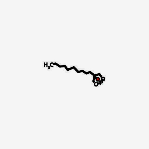 CCCCCCCCCCC12COP(OC1)OC2